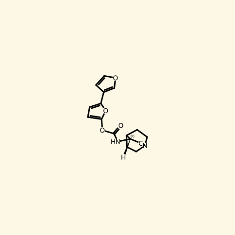 O=C(N[C@H]1CN2CCC1CC2)Oc1ccc(-c2ccoc2)o1